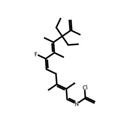 C=C(Cl)/N=C\C(C)=C(/C)C/C=C(F)\C(C)=C(/C)C(CC)(CC)C(=C)C